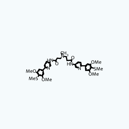 COc1cc(-c2ccc(NC(=O)CCN(C)CCC(=O)Nc3ccc(-c4cc(OC)c(SC)c(OC)c4)nc3)cn2)cc(OC)c1SC